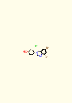 Cl.OC1CCC(N2CNc3c(Br)cc(Br)cc3C2)CC1